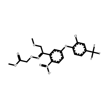 COCC(=NOCC(=O)OC)c1cc(Oc2ccc(C(F)(F)F)cc2Cl)ccc1[N+](=O)[O-]